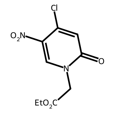 CCOC(=O)Cn1cc([N+](=O)[O-])c(Cl)cc1=O